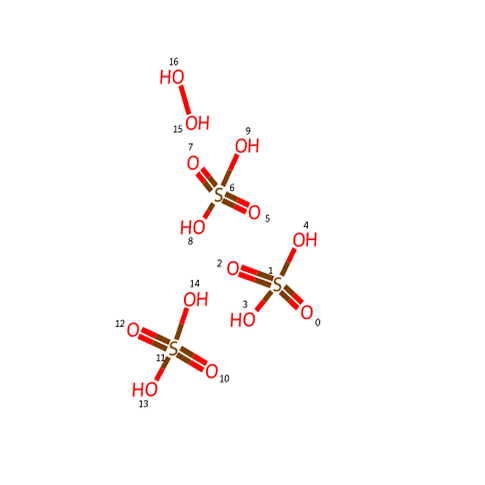 O=S(=O)(O)O.O=S(=O)(O)O.O=S(=O)(O)O.OO